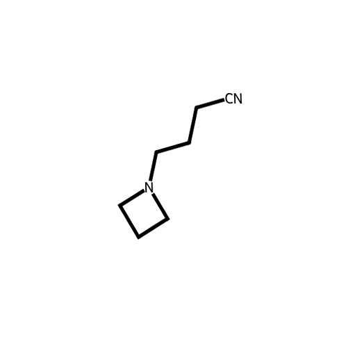 N#CCCCN1CCC1